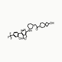 O=C(CN1CCC[C@@H](Nc2nnc(-c3ccc(C(F)(F)F)cc3O)c3c2COC3)C1)N1CCC2(CC1)CC(O)C2